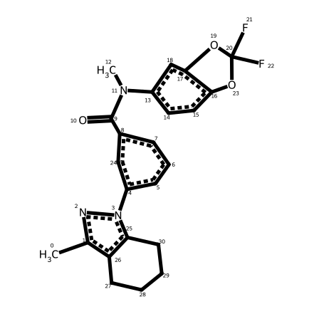 Cc1nn(-c2cccc(C(=O)N(C)c3ccc4c(c3)OC(F)(F)O4)c2)c2c1CCCC2